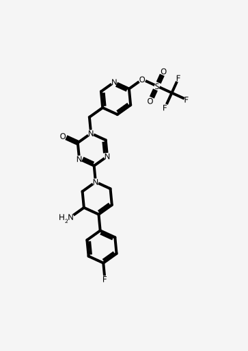 NC1CN(c2ncn(Cc3ccc(OS(=O)(=O)C(F)(F)F)nc3)c(=O)n2)CC=C1c1ccc(F)cc1